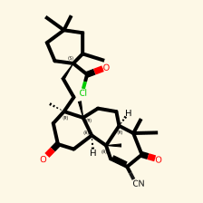 CC1CC(C)(C)CC[C@@]1(CC[C@]1(C)CC(=O)C[C@@H]2[C@@]3(C)C=C(C#N)C(=O)C(C)(C)[C@@H]3CC[C@]21C)C(=O)Cl